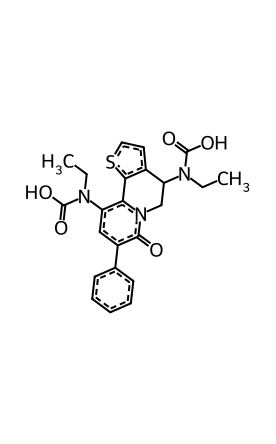 CCN(C(=O)O)c1cc(-c2ccccc2)c(=O)n2c1-c1sccc1C(N(CC)C(=O)O)C2